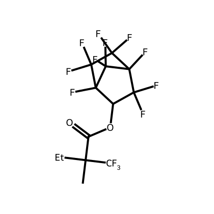 CCC(C)(C(=O)OC1C(F)(F)C2(F)C(F)(F)C(F)(F)C1(F)C2(F)F)C(F)(F)F